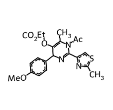 CCOC(=O)OC1=C(C)N(C(C)=O)C(c2csc(C)n2)=NC1c1ccc(OC)cc1